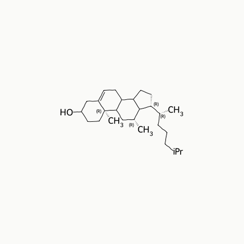 CC(C)CCC[C@@H](C)[C@H]1CCC2C3CC=C4CC(O)CC[C@]4(C)C3C[C@@H](C)C21